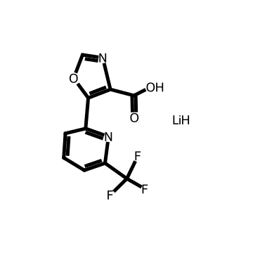 O=C(O)c1ncoc1-c1cccc(C(F)(F)F)n1.[LiH]